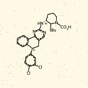 CC(C)(C)C1[C@H](Nc2ncc3c(n2)-c2ccccc2[C@H](c2ccc(Cl)c(Cl)c2)C3)CCCN1C(=O)O